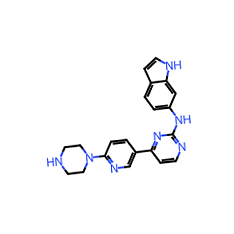 c1cc(-c2ccc(N3CCNCC3)nc2)nc(Nc2ccc3cc[nH]c3c2)n1